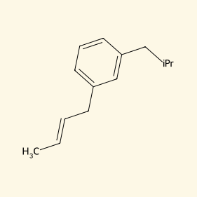 CC=CCc1cccc(CC(C)C)c1